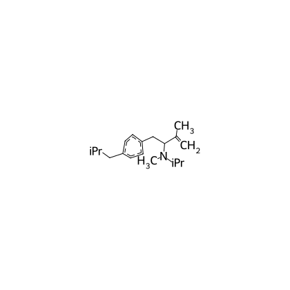 C=C(C)C(Cc1ccc(CC(C)C)cc1)N(C)C(C)C